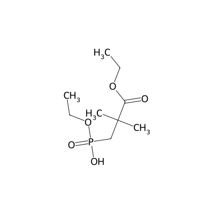 CCOC(=O)C(C)(C)CP(=O)(O)OCC